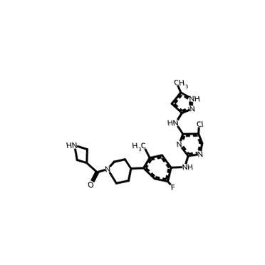 Cc1cc(Nc2nc(Nc3cc(C)c(C4CCN(C(=O)C5CNC5)CC4)cc3F)ncc2Cl)n[nH]1